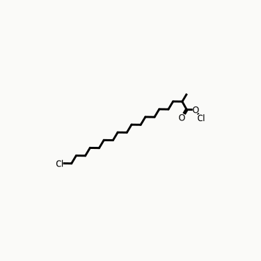 CC(CCCCCCCCCCCCCCCCCl)C(=O)OCl